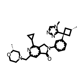 C[C@@H]1CN(Cc2cc3c(c(C4CC4)n2)CN(c2cccc([C@]4(c5nncn5C)C[C@@H](C)C4)c2)C3=O)CCO1